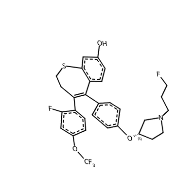 Oc1ccc2c(c1)SCCC(c1ccc(OC(F)(F)F)cc1F)=C2c1ccc(O[C@H]2CCN(CCCF)C2)cc1